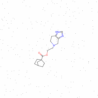 O=C(OCCN1CCc2[nH]cnc2C1)C12CCC(CC1)C2